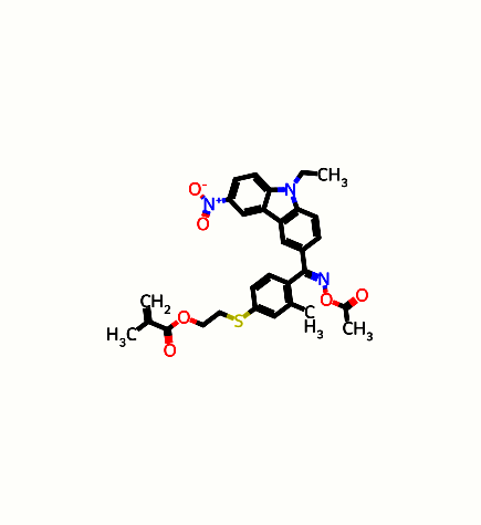 C=C(C)C(=O)OCCSc1ccc(/C(=N\OC(C)=O)c2ccc3c(c2)c2cc([N+](=O)[O-])ccc2n3CC)c(C)c1